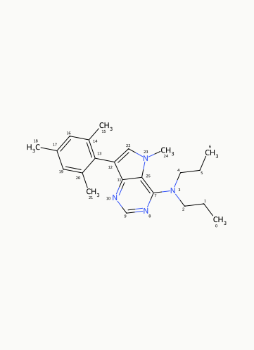 CCCN(CCC)c1ncnc2c(-c3c(C)cc(C)cc3C)cn(C)c12